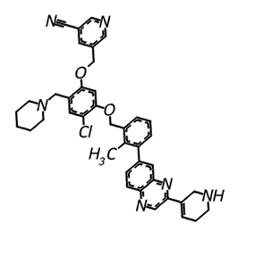 Cc1c(COc2cc(OCc3cncc(C#N)c3)c(CN3CCCCC3)cc2Cl)cccc1-c1ccc2ncc(C3=CCCNC3)nc2c1